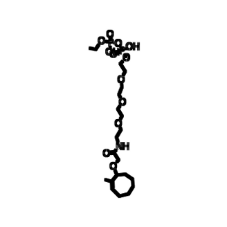 CCOP(=O)(O)OP(=O)(O)OCCOCCOCCOCCNC(=O)COC1CCCCC/C=C\1C